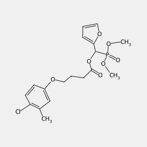 COP(=O)(OC)C(OC(=O)CCCOc1ccc(Cl)c(C)c1)c1ccco1